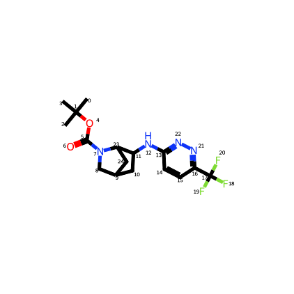 CC(C)(C)OC(=O)N1CC2CC(Nc3ccc(C(F)(F)F)nn3)C1C2